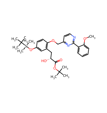 COc1ccccc1-c1nccc(COc2ccc(O[Si](C)(C)C(C)(C)C)cc2C[C@@H](O)C(=O)OC(C)(C)C)n1